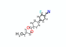 C=CC1COC(C2CCC(c3ccc(C#N)c(F)c3)CC2)OC1